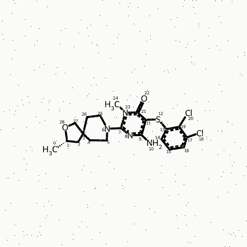 C[C@H]1CC2(CCN(c3nc(N)c(Sc4cccc(Cl)c4Cl)c(=O)n3C)CC2)CO1